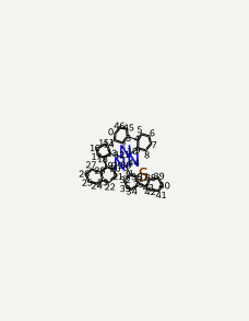 c1ccc(-c2ccccc2-c2nc(-c3ccccc3-c3cccc4ccccc34)nc(-c3cccc4c3sc3ccccc34)n2)cc1